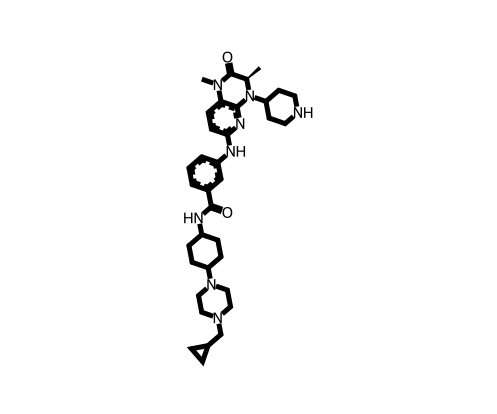 C[C@@H]1C(=O)N(C)c2ccc(Nc3cccc(C(=O)NC4CCC(N5CCN(CC6CC6)CC5)CC4)c3)nc2N1C1CCNCC1